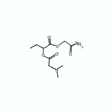 CCC(OC(=O)CN(C)C)C(=O)OCC(N)=O